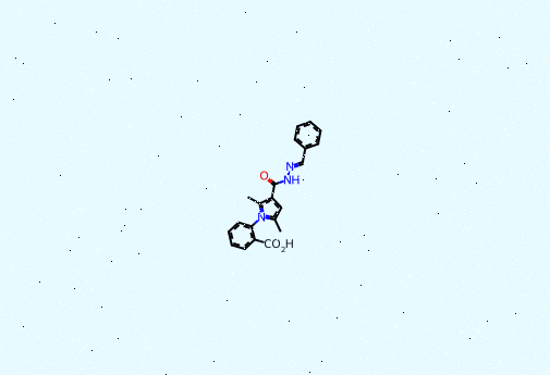 Cc1cc(C(=O)N/N=C/c2ccccc2)c(C)n1-c1ccccc1C(=O)O